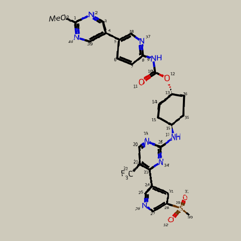 COc1ncc(-c2ccc(NC(=O)O[C@H]3CC[C@H](Nc4ncc(C(F)(F)F)c(-c5cncc(S(C)(=O)=O)c5)n4)CC3)nc2)cn1